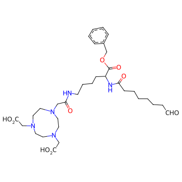 O=CCCCCCCC(=O)NC(CCCCNC(=O)CN1CCN(CC(=O)O)CCN(CC(=O)O)CC1)C(=O)OCc1ccccc1